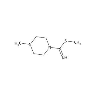 CSC(=N)N1CCN(C)CC1